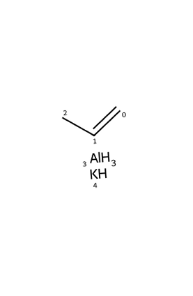 C=CC.[AlH3].[KH]